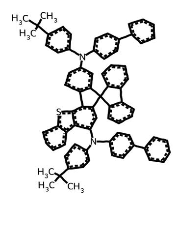 CC(C)(C)c1ccc(N(c2ccc(-c3ccccc3)cc2)c2ccc3c(c2)C2(c4ccccc4-c4ccccc42)c2cc(N(c4ccc(-c5ccccc5)cc4)c4ccc(C(C)(C)C)cc4)c4c(sc5ccccc54)c2-3)cc1